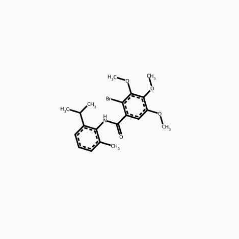 COc1cc(C(=O)Nc2c(C)cccc2C(C)C)c(Br)c(OC)c1OC